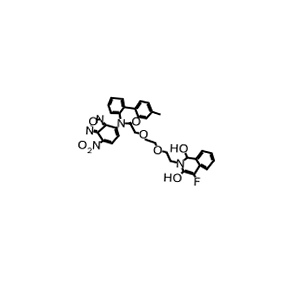 Cc1ccc(-c2ccccc2N(C(=O)COCCOCCN2C(O)=C(F)c3ccccc3C2O)c2ccc([N+](=O)[O-])c3nonc23)cc1